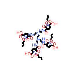 CCCCOn1c(C(=O)O)ccc(C(=O)NCCN(CCNC(=O)c2ccc(C(=O)O)n(OCCCC)c2=O)CCN(CCNC(=O)c2ccc(C(=O)O)n(OCCCC)c2=O)CCNC(=O)c2ccc(C(=O)O)n(OCCCC)c2=O)c1=O